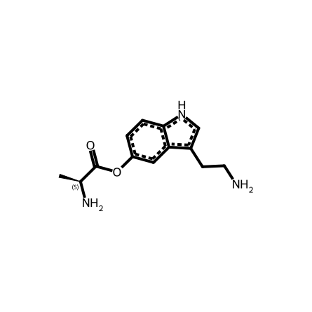 C[C@H](N)C(=O)Oc1ccc2[nH]cc(CCN)c2c1